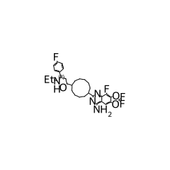 CCN[C@H](CC(=O)C1CCCCCC(c2nc(N)c3cc4c(c(F)c3n2)OC(F)(F)O4)CCCC1)c1ccc(F)cc1